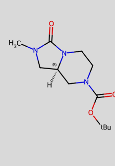 CN1C[C@@H]2CN(C(=O)OC(C)(C)C)CCN2C1=O